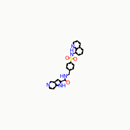 O=C(NCc1ccc(S(=O)(=O)Nc2cccc3cccnc23)cc1)c1cc2cnccc2[nH]1